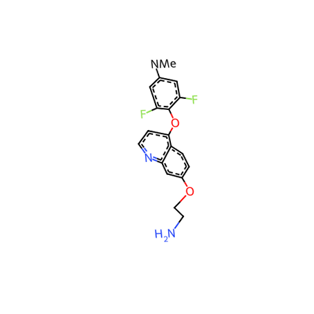 CNc1cc(F)c(Oc2ccnc3cc(OCCN)ccc23)c(F)c1